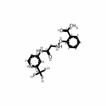 CC(=O)c1ccccc1ONCC(=O)Nc1ccnc(C(F)(F)F)c1